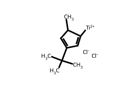 CC1C=C(C(C)(C)C)C=[C]1[Ti+2].[Cl-].[Cl-]